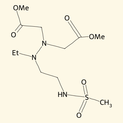 CCN(CCNS(C)(=O)=O)N(CC(=O)OC)CC(=O)OC